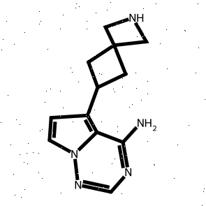 Nc1ncnn2ccc(C3CC4(CNC4)C3)c12